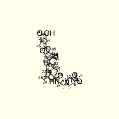 CC(C)(CN1CCN(S(C)(=O)=O)CC1)NC(=O)[C@]12CC[C@@H](C3(C)CC3)C1[C@H]1CC[C@@H]3[C@@]4(C)CC[C@H](OC(=O)[C@H]5C[C@@H](C(=O)O)C5(C)C)C(C)(C)[C@@H]4CC[C@@]3(C)[C@]1(C)CC2